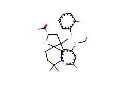 CC1(C)CCC2(CC1)N[C@@H](C(=O)O)[C@H](c1cccc(Cl)c1F)C2(C)c1cnc(Cl)cc1NCO